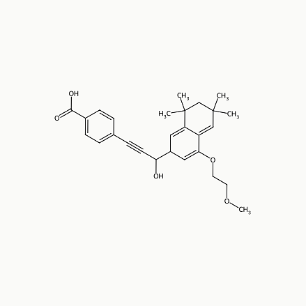 COCCOC1=CC(C(O)C#Cc2ccc(C(=O)O)cc2)C=C2C1=CC(C)(C)CC2(C)C